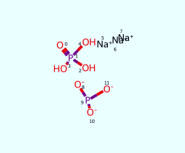 O=P(O)(O)O.[Na+].[Na+].[Na+].[O-]P([O-])[O-]